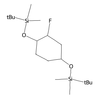 CC(C)(C)[Si](C)(C)OC1CCC(O[Si](C)(C)C(C)(C)C)C(F)C1